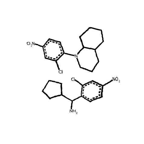 NC(c1ccc([N+](=O)[O-])cc1Cl)C1CCCC1.O=[N+]([O-])c1ccc(N2CCCC3CCCCC32)c(Cl)c1